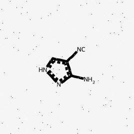 [C-]#[N+]c1c[nH]nc1N